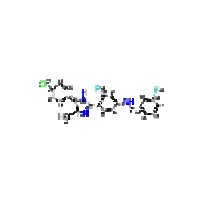 Cc1nc(-c2ccc(NCc3cccc(F)c3)cc2F)[nH]c1-c1ccc(Cl)cc1